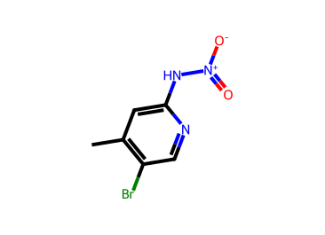 Cc1cc(N[N+](=O)[O-])ncc1Br